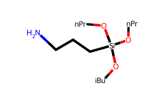 CCCO[Si](CCCN)(OCCC)OC(C)CC